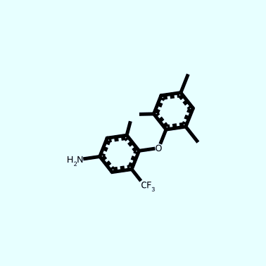 Cc1cc(C)c(Oc2c(C)cc(N)cc2C(F)(F)F)c(C)c1